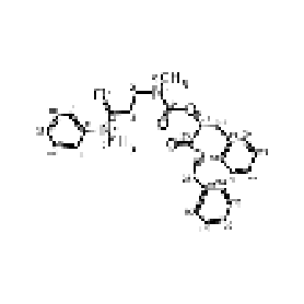 CN(CCC(=O)N(C)c1ccccc1)C(=O)O[C@@H](Cc1ccccc1)C(=O)OCc1ccccc1